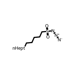 CCCCCCCCCCCCS(=O)(=O)N=[N+]=[N-]